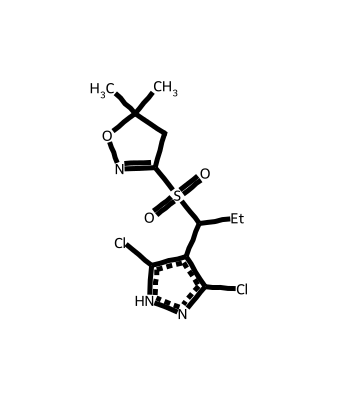 CCC(c1c(Cl)n[nH]c1Cl)S(=O)(=O)C1=NOC(C)(C)C1